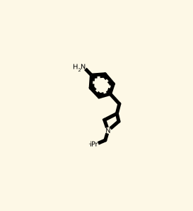 C[C](C)CN1CC(Cc2ccc(N)cc2)C1